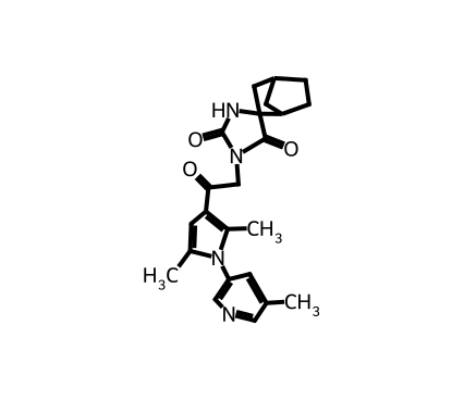 Cc1cncc(-n2c(C)cc(C(=O)CN3C(=O)NC4(CC5CCC4C5)C3=O)c2C)c1